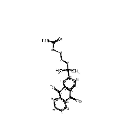 CC(C)(CCCCC(N)=O)c1ccc2c(c1)C(=O)c1ccccc1C2=O